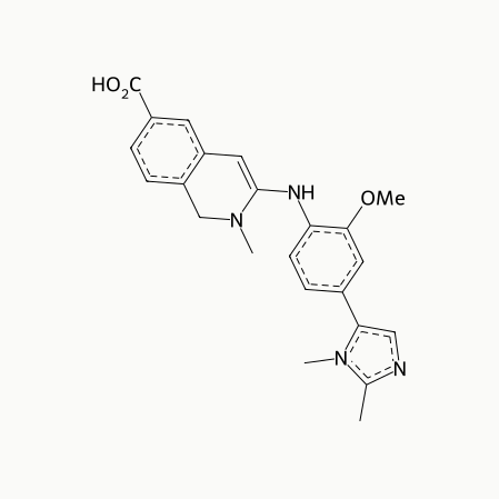 COc1cc(-c2cnc(C)n2C)ccc1NC1=Cc2cc(C(=O)O)ccc2CN1C